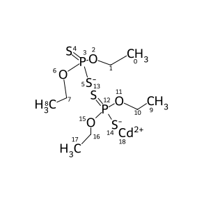 CCOP(=S)([S-])OCC.CCOP(=S)([S-])OCC.[Cd+2]